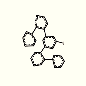 Ic1cc(-c2ccccc2-c2ccccc2)cc(-c2ccccc2-c2ccccc2)c1